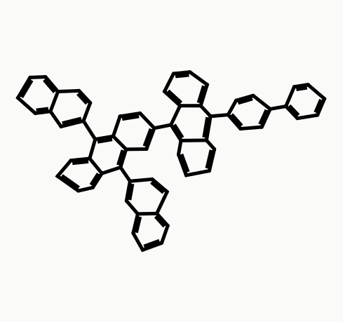 c1ccc(-c2ccc(-c3c4ccccc4c(-c4ccc5c(-c6ccc7ccccc7c6)c6ccccc6c(-c6ccc7ccccc7c6)c5c4)c4ccccc34)cc2)cc1